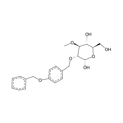 CO[C@H]1[C@H](O)[C@@H](CO)O[C@H](O)[C@@H]1OCc1ccc(OCc2ccccc2)cc1